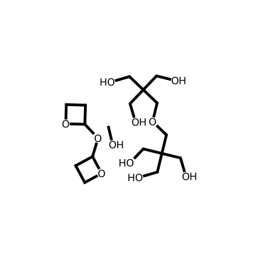 C1CC(OC2CCO2)O1.CO.OCC(CO)(CO)COCC(CO)(CO)CO